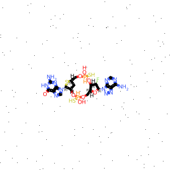 Nc1nc2c(ncn2[C@@H]2S[C@@H]3CO[PH](O)(S)O[C@H]4[C@H](F)[C@H](n5nnc6c(N)ncnc65)O[C@@H]4CO[PH](O)(S)O[C@@H]2C3)c(=O)[nH]1